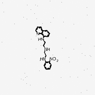 O=[N+]([O-])c1ccccc1NCCNCCNc1cccc2cccnc12